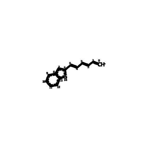 [CH]=CC=CC=Cc1cc2ccccc2s1